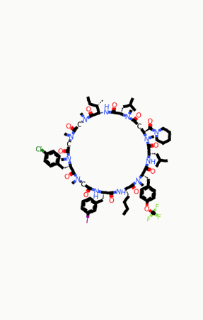 CCCC[C@@H]1NC(=O)[C@H](Cc2cccc(I)c2)NC(=O)CN(C)C(=O)[C@H](Cc2ccc(Cl)cc2)N(C)C(=O)CN(C)C(=O)CN(C)C(=O)[C@H]([C@@H](C)CC)NC(=O)[C@H](CC(C)C)N(C)C(=O)C[C@@H](C(=O)N2CCCCC2)N(C)C(=O)[C@H](CC(C)C)NC(=O)[C@H](Cc2ccc(OC(F)(F)F)cc2)N(C)C1=O